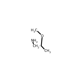 C[CH]OC.[CH2]N